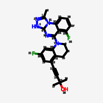 CC1=NNC2N=C(N3CCCc4c(C#CC(C)(C)O)cc(F)cc43)c3c(F)cccc3N12